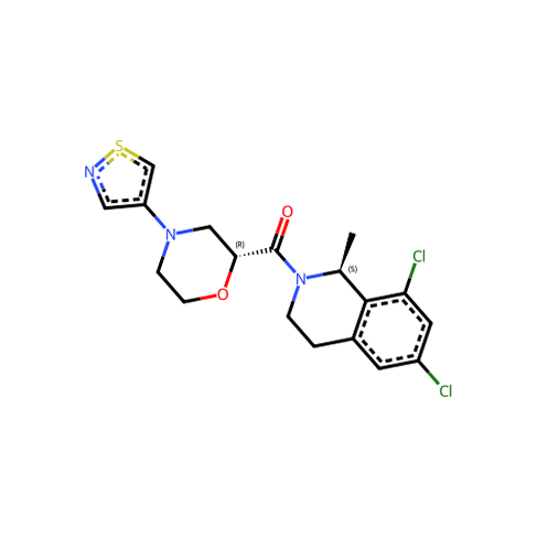 C[C@H]1c2c(Cl)cc(Cl)cc2CCN1C(=O)[C@H]1CN(c2cnsc2)CCO1